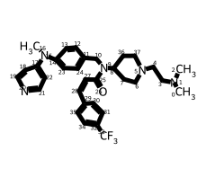 CN(C)CCN1CCC(N(Cc2ccc(N(C)c3ccncc3)cc2)C(=O)C=Cc2ccc(C(F)(F)F)cc2)CC1